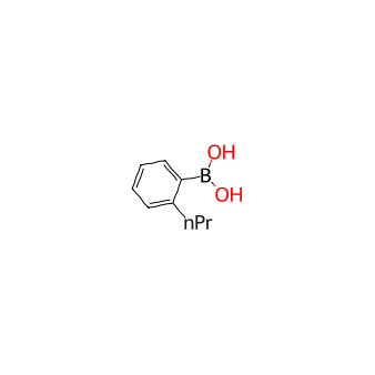 CCCc1ccccc1B(O)O